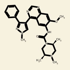 COc1cc2ncnc(-c3cn(C)nc3-c3ccccc3)c2cc1NC(=O)N1C[C@H](C)N(C)C[C@@H]1C